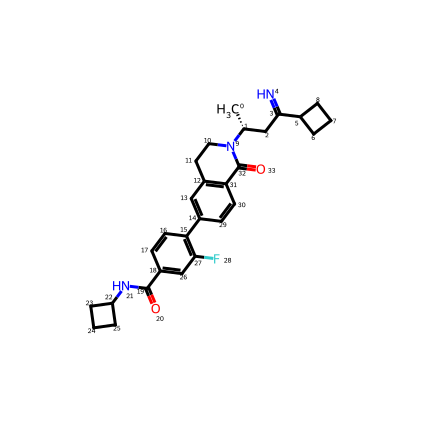 C[C@H](CC(=N)C1CCC1)N1CCc2cc(-c3ccc(C(=O)NC4CCC4)cc3F)ccc2C1=O